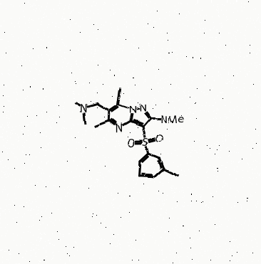 CNc1nn2c(C)c(CN(C)C)c(C)nc2c1S(=O)(=O)c1cccc(C)c1